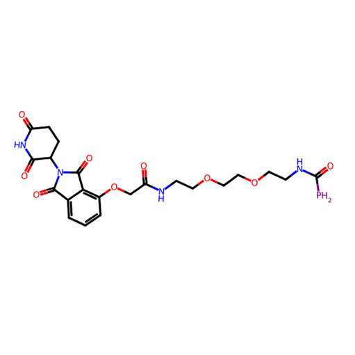 O=C(P)NCCOCCOCCNC(=O)COc1cccc2c1C(=O)N(C1CCC(=O)NC1=O)C2=O